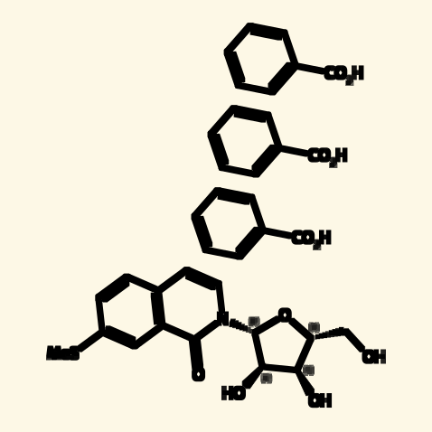 CSc1ccc2ccn([C@@H]3O[C@H](CO)[C@@H](O)[C@H]3O)c(=O)c2c1.O=C(O)c1ccccc1.O=C(O)c1ccccc1.O=C(O)c1ccccc1